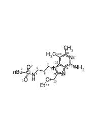 CCCCS(=O)(=O)NCCCn1c(COCC)nc2c(N)nc(C)c(C)c21